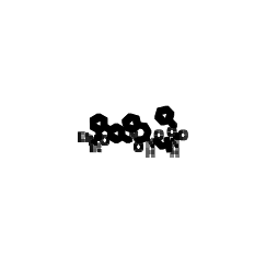 CCN(CC)C(=O)c1ccccc1-c1ccc(CN2C(=O)C(NC(=O)CC(C)(C)NC(=O)OCc3ccccc3)CCc3ccccc32)cc1